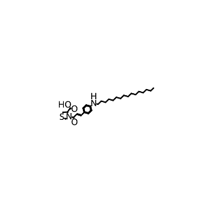 CCCCCCCCCCCCCCCCNc1ccc(C=CC(=O)N2CSCC2C(=O)O)cc1